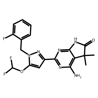 CC1(C)C(=O)Nc2nc(-c3cc(OC(F)F)n(Cc4ccccc4F)n3)nc(N)c21